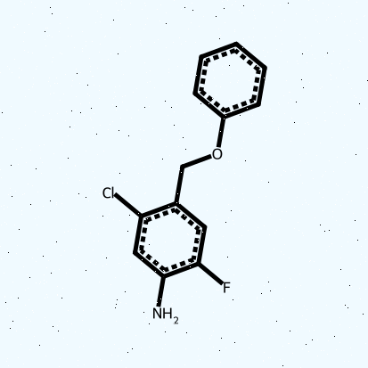 Nc1cc(Cl)c(COc2ccccc2)cc1F